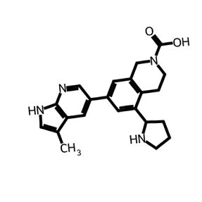 Cc1c[nH]c2ncc(-c3cc4c(c(C5CCCN5)c3)CCN(C(=O)O)C4)cc12